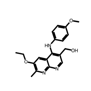 CCOc1cc2c(Nc3ccc(OC)cc3)c(CO)cnc2nc1C